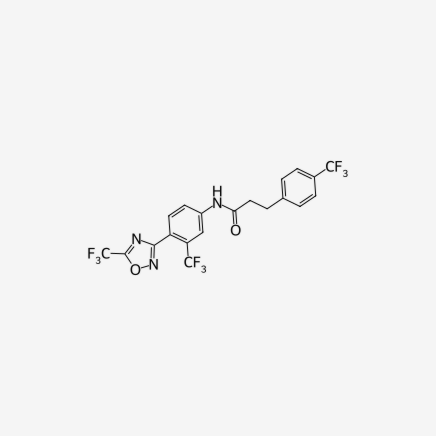 O=C(CCc1ccc(C(F)(F)F)cc1)Nc1ccc(-c2noc(C(F)(F)F)n2)c(C(F)(F)F)c1